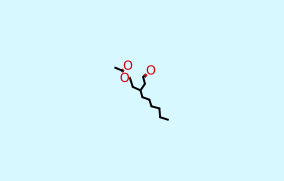 CCCCCCC(CC=O)CCOC(C)=O